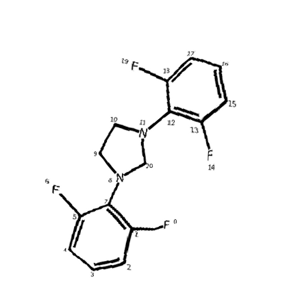 Fc1cccc(F)c1N1CCN(c2c(F)cccc2F)C1